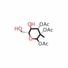 CC(=O)OC1O[C@H](CO)[C@@H](O)[C@H](OC(C)=O)[C@]1(C)OC(C)=O